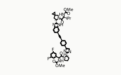 COC(=O)N[C@H](C(=O)N1CC2(CC2)C[C@H]1c1nc2ccc(C#Cc3ccc(-c4cnc([C@@H]5CCCN5C(=O)[C@H](NC(=O)OC)c5cc(F)cc(F)c5)[nH]4)cc3)cc2[nH]1)C(C)C